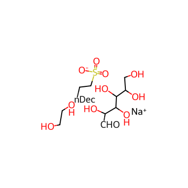 CCCCCCCCCCCCS(=O)(=O)[O-].O=CC(O)C(O)C(O)C(O)CO.OCCO.[Na+]